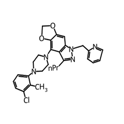 CCCc1nn(Cc2ccccn2)c2cc3c(c(N4CCN(c5cccc(Cl)c5C)CC4)c12)OCO3